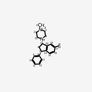 CN1CCN([C@H]2C[C@H](c3ccccc3)c3ccc(F)cc32)CC1